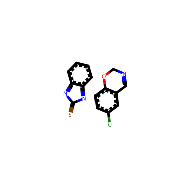 Clc1ccc2c(c1)C=NCO2.S=C1N=c2ccccc2=N1